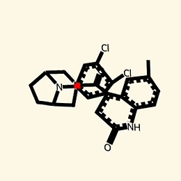 Cc1ccc2[nH]c(=O)cc(C(=O)N3CC4CCC(C3)N4c3ccc(Cl)c(Cl)c3)c2c1